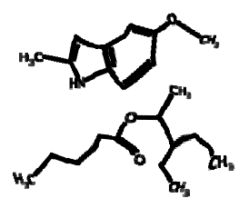 CCCCC(=O)OC(C)C(CC)CC.COc1ccc2[nH]c(C)cc2c1